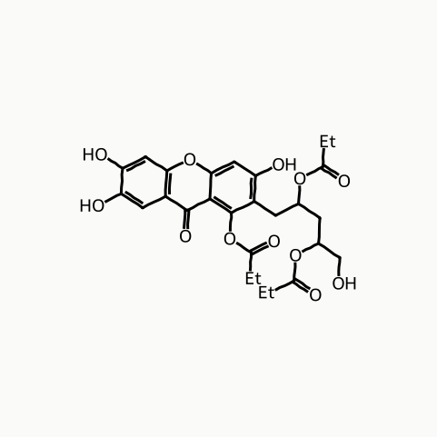 CCC(=O)Oc1c(CC(CC(CO)OC(=O)CC)OC(=O)CC)c(O)cc2oc3cc(O)c(O)cc3c(=O)c12